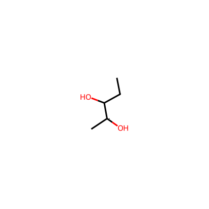 CCC(O)[C](C)O